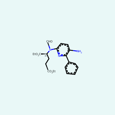 CCOC(=O)CC[C@@H](C(=O)OCC)N(C=O)c1ccc(N)c(-c2ccccc2)n1